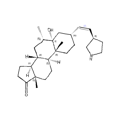 C[C@H]1C[C@H]2[C@@H]3CCC(=O)[C@@]3(C)CC[C@@H]2[C@@]2(C)CC[C@@H](/C=C\[C@H]3CCNC3)C[C@]12O